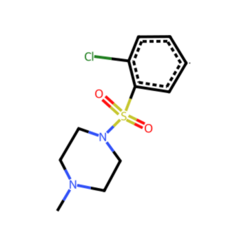 CN1CCN(S(=O)(=O)c2c[c]ccc2Cl)CC1